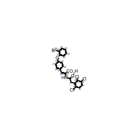 O=C(Cc1c(Cl)ccc(Cl)c1Cl)N/C(=C/c1ccc(Oc2ccccc2Br)cc1)C(=O)O